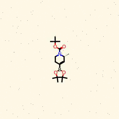 C[C@@H]1C=C(B2OC(C)(C)C(C)(C)O2)CCN1C(=O)OC(C)(C)C